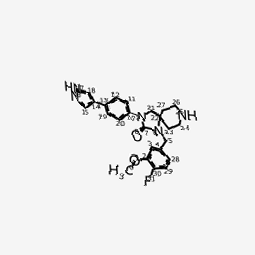 COc1cc(CN2C(=O)N(c3ccc(-c4cn[nH]c4)cc3)CC23CCNCC3)ccc1F